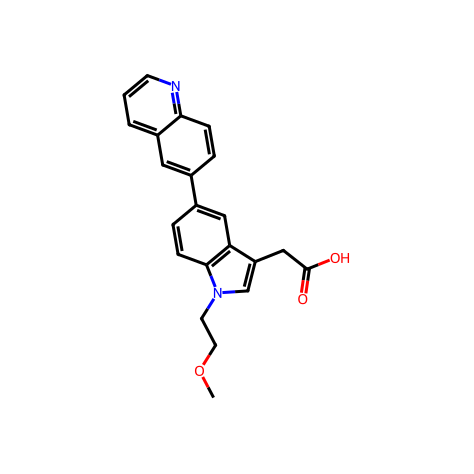 COCCn1cc(CC(=O)O)c2cc(-c3ccc4ncccc4c3)ccc21